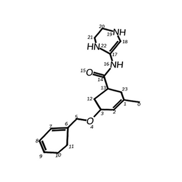 CC1=CC(OCC2=CC=CCC2)CC(C(=O)NC2=CNCCN2)C1